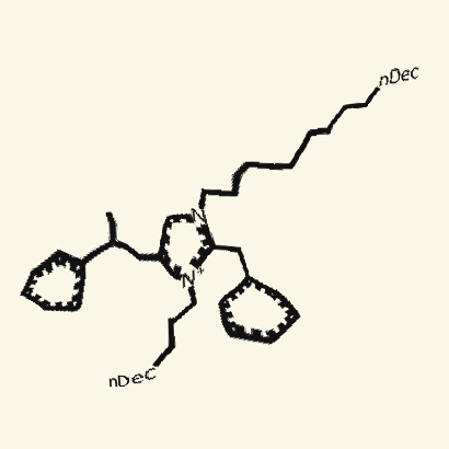 CCCCCCCCCCCCCCCCCCn1cc(CC(C)c2ccccc2)[n+](CCCCCCCCCCCCC)c1Cc1ccccc1